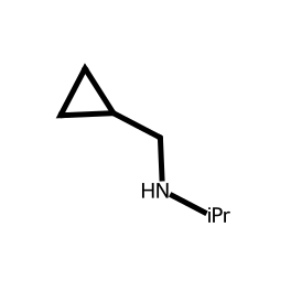 CC(C)NCC1CC1